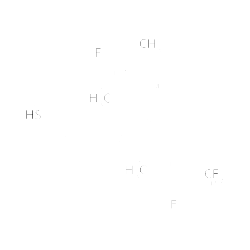 CC(C)(F)CC(CCCS)CC(C)(F)C(F)(F)F